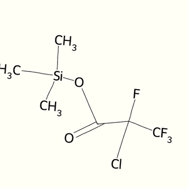 C[Si](C)(C)OC(=O)C(F)(Cl)C(F)(F)F